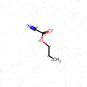 CCCOC(=O)C#N